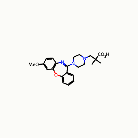 COc1ccc2c(c1)Oc1ccccc1C(N1CCN(CC(C)(C)C(=O)O)CC1)=N2